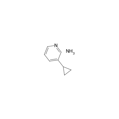 N.c1cncc(C2CC2)c1